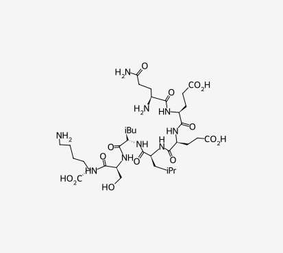 CC[C@H](C)[C@H](NC(=O)[C@H](CC(C)C)NC(=O)[C@H](CCC(=O)O)NC(=O)[C@H](CCC(=O)O)NC(=O)[C@@H](N)CCC(N)=O)C(=O)N[C@@H](CO)C(=O)N[C@@H](CCCCN)C(=O)O